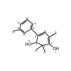 CC1=C(O)C(C)(C)C(O)C(c2cccc(C)c2)=C1